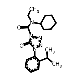 CCN(C(=O)n1nnn(-c2ccccc2C(C)C)c1=O)C1CCCCC1